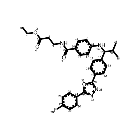 CCOC(=O)CCNC(=O)c1ccc(NC(c2ccc(-c3nnc(-c4ccc(F)cc4)o3)cc2)C(C)C)cc1